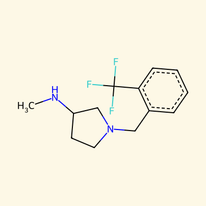 CNC1CCN(Cc2ccccc2C(F)(F)F)C1